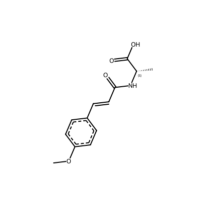 COc1ccc(C=CC(=O)N[C@@H](C)C(=O)O)cc1